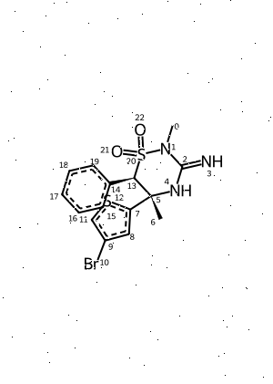 CN1C(=N)N[C@](C)(c2cc(Br)cs2)[C@@H](c2ccccc2)S1(=O)=O